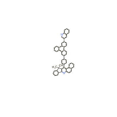 CC1(C)c2ccccc2-c2nc3ccc4ccccc4c3c(-c3ccc(-c4ccc5c6ccc(-c7cnc8ccccc8c7)cc6c6ccccc6c5c4)cc3)c21